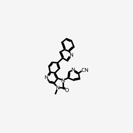 Cn1c(=O)n(-c2ccc(C#N)nc2)c2c3cc(-c4cnc5ccccc5c4)ccc3ncc21